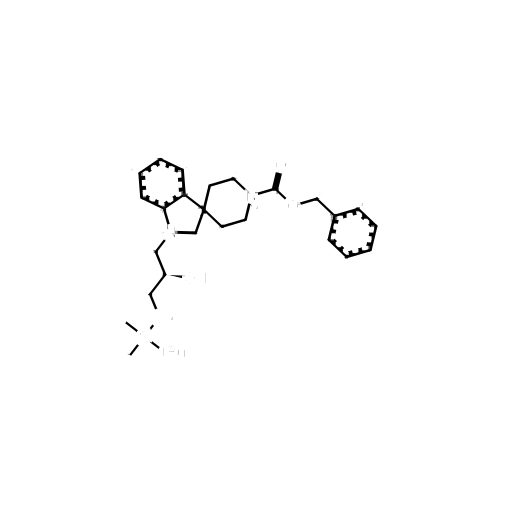 CC(C)(C)[Si](C)(C)OC[C@H](O)CN1CC2(CCN(C(=O)OCc3ccccc3)CC2)c2ccccc21